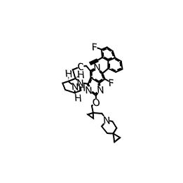 C#Cc1c(F)ccc2cccc(-c3nc4c5c(nc(OCC6(CN7CCC8(CC7)CC8)CC6)nc5c3F)N3C[C@H]5CC[C@H](N5)[C@H]3CCC4)c12